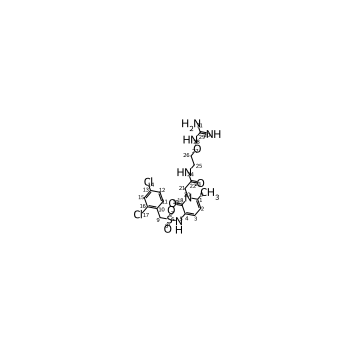 Cc1ccc(NS(=O)(=O)Cc2ccc(Cl)cc2Cl)c(=O)n1CC(=O)NCCONC(=N)N